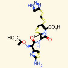 C=C(O/N=C(\C(=O)N[C@@H]1C(=O)N2C(C(=O)O)=C(SCSc3c[nH]nn3)CS[C@H]12)c1csc(N)n1)C(=O)O